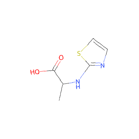 CC(Nc1nccs1)C(=O)O